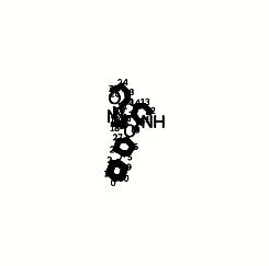 c1ccc([C@H]2CC[C@@H](OC[C@@H]3NCCC[C@@H]3c3ccnn3C3CCCCO3)CC2)cc1